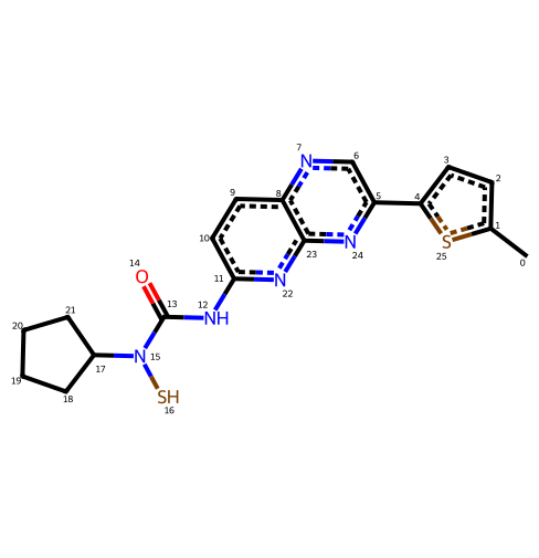 Cc1ccc(-c2cnc3ccc(NC(=O)N(S)C4CCCC4)nc3n2)s1